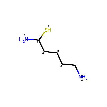 NCCCCC(N)S